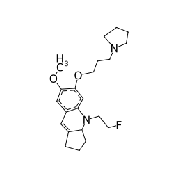 COc1cc2c(cc1OCCCN1CCCC1)N(CCF)C1CCCC1=C2